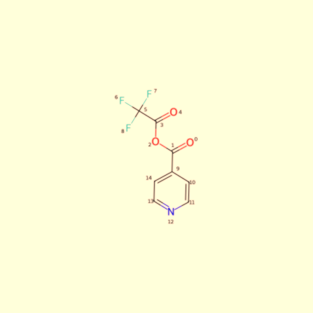 O=C(OC(=O)C(F)(F)F)c1ccncc1